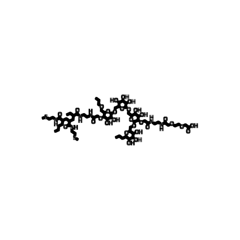 CCCCC(CC(CC(CC)C(=O)NCCNC(=O)COC1C(COCCC)OC(OCC2OC(OCC3OC(OCC4OC(CCC)C(O)C(O)C4O)C(OCC(=O)NCCNC(=O)COCCOCC(=O)O)C(O)C3O)C(O)C(O)C2O)C(O)C1O)C(=O)NCCSC)C(=O)NCCSC